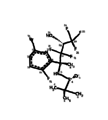 CC(C)(C)[S@@+]([O-])N[C@](C)(c1nc(Br)ccc1F)C(F)(F)[C@H](O)C(F)(F)F